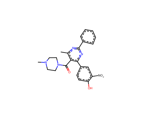 Cc1nc(-c2ccccc2)nc(-c2ccc(O)c([N+](=O)[O-])c2)c1C(=O)N1CCN(C)CC1